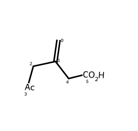 C=C(CC(C)=O)CC(=O)O